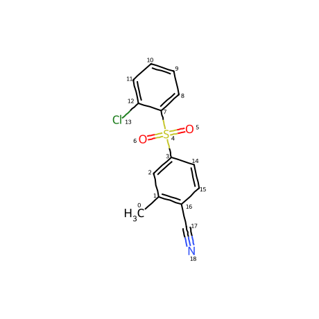 Cc1cc(S(=O)(=O)c2ccccc2Cl)ccc1C#N